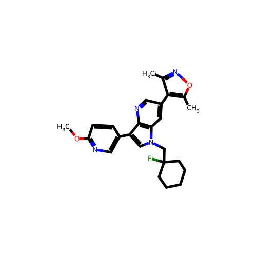 COc1ccc(-c2cn(CC3(F)CCCCC3)c3cc(-c4c(C)noc4C)cnc23)cn1